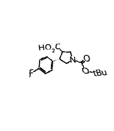 CC(C)(C)OC(=O)N1CC(C(=O)O)[C@@H](c2ccc(F)cc2)C1